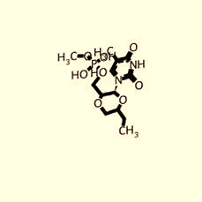 CCC1COC(CO[PH](O)(O)OC)[C@H](n2cc(C)c(=O)[nH]c2=O)O1